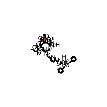 CCC(=O)/N=C1\[C@H](C)C[C@@]2(C)OC/C(=N/OCc3ccc(-c4nc(NP(=O)(OCc5ccccc5)OCc5ccccc5)cs4)cn3)CO[C@H]([C@H]1C)[C@](C)(O)[C@@H](CC)OC(=O)[C@@](C)(F)C(=O)[C@H](C)[C@H]2O[C@@H]1O[C@H](C)C[C@H](N(C)C)[C@H]1O